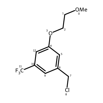 COCCOc1cc(CCl)cc(C(F)(F)F)c1